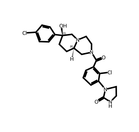 O=C(c1cccc(N2CCNC2=O)c1Cl)N1CCN2C[C@@](O)(c3ccc(Cl)cc3)CC[C@@H]2C1